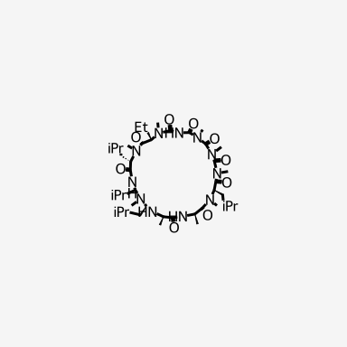 CC[C@@H]1C(=O)N(C)[C@@H](CC(C)C)C(=O)NC(C(C)C)N(C)[C@H](CC(C)C)N[C@H](C)C(=O)N[C@H](C)C(=O)N(C)[C@H](CC(C)C)C(=O)N(C)C(=O)N(C)C(=O)N(C)C(=O)NC(=O)N1C